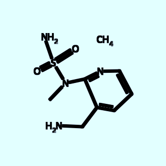 C.CN(c1ncccc1CN)S(N)(=O)=O